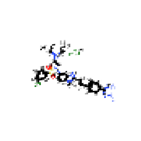 CCN(CC)CCN(c1ccc2c(c1)nc(CCc1ccc(C(=N)N)cc1)n2C)S(=O)(=O)c1cccc(Cl)c1.Cl